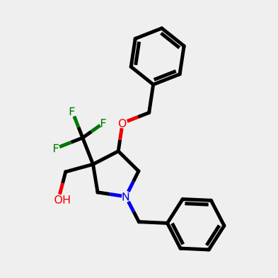 OCC1(C(F)(F)F)CN(Cc2ccccc2)CC1OCc1ccccc1